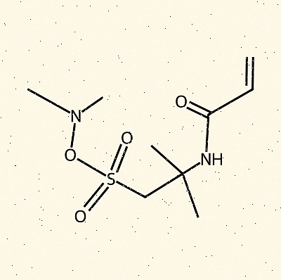 C=CC(=O)NC(C)(C)CS(=O)(=O)ON(C)C